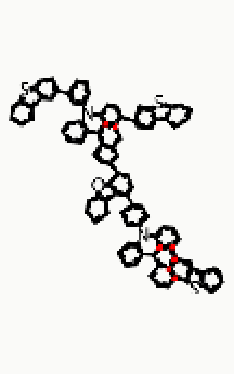 c1cc(-c2ccc3sc4ccccc4c3c2)cc(N(c2ccc(-c3ccc(-c4ccc5c(-c6ccccc6N(c6ccc(-c7ccc8c(c7)sc7ccccc78)cc6)c6cccc(-c7ccc8sc9ccccc9c8c7)c6)cccc5c4)c4oc5ccccc5c34)cc2)c2ccccc2-c2cccc3ccccc23)c1